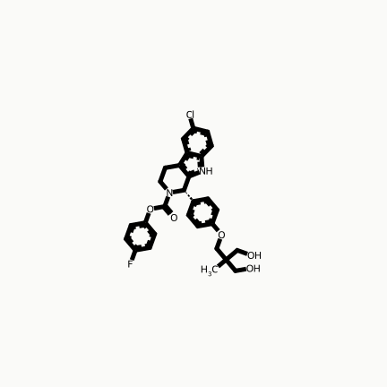 CC(CO)(CO)COc1ccc([C@H]2c3[nH]c4ccc(Cl)cc4c3CCN2C(=O)Oc2ccc(F)cc2)cc1